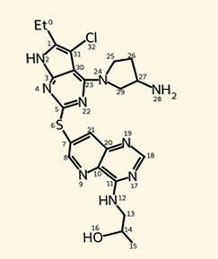 CCc1[nH]c2nc(Sc3cnc4c(NCC(C)O)ncnc4c3)nc(N3CCC(N)C3)c2c1Cl